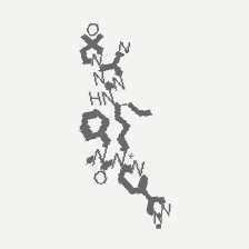 CCC[C@H](CCC/C=[N+](\C(=O)N(C)Cc1ccccc1)c1ccc(-c2cnn(C)c2)cn1)Nc1ncc(C#N)c(N2CCC3(COC3)C2)n1